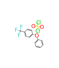 FC(F)(F)c1ccc(Oc2ccccc2)cc1.O=S(=O)(Cl)Cl